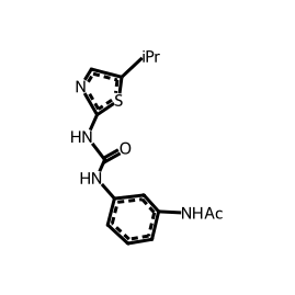 CC(=O)Nc1cccc(NC(=O)Nc2ncc(C(C)C)s2)c1